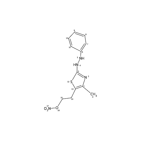 Cc1nc(NNc2ccccc2)sc1CCO[N+](=O)[O-]